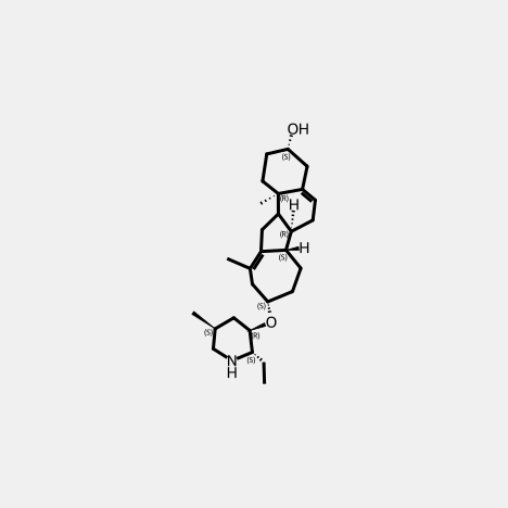 CC[C@@H]1NC[C@@H](C)C[C@H]1O[C@H]1CC[C@@H]2C(=C(C)C1)CC1[C@H]2CC=C2C[C@@H](O)CC[C@@]21C